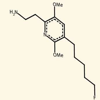 COc1cc(CCCCCF)c(OC)nc1CCN